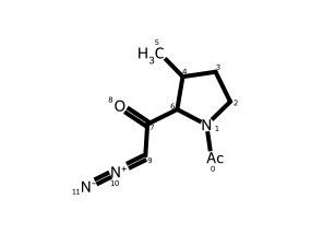 CC(=O)N1CCC(C)C1C(=O)C=[N+]=[N-]